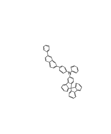 c1ccc(-c2ccc3ccc(-c4ccc(N(c5ccccc5)c5ccc6c(c5)-c5ccccc5C65c6ccccc6-c6ccccc65)cc4)cc3c2)cc1